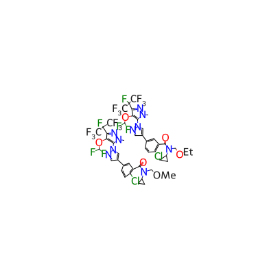 CCOCN(C(=O)c1cc(-c2cnn(-c3c(OC(F)F)c(C(F)(C(F)(F)F)C(F)(F)F)nn3C)c2)ccc1Cl)C1CC1.COCN(C(=O)c1cc(-c2cnn(-c3c(OC(F)F)c(C(F)(C(F)(F)F)C(F)(F)F)nn3C)c2)ccc1Cl)C1CC1